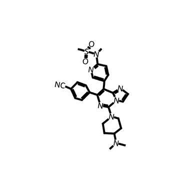 CN(C)C1CCN(c2nc(-c3ccc(C#N)cc3)c(-c3ccc(N(C)S(C)(=O)=O)nc3)c3nccn23)CC1